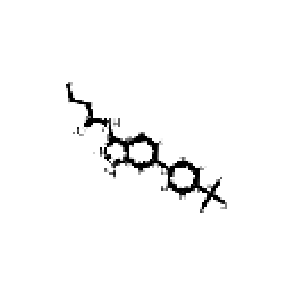 CCCC(=O)Nc1n[nH]c2cc(-c3ccc(C(C)(C)C)cc3)ccc12